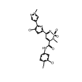 CN1C(C(=O)Nc2ccc(F)c(Cl)c2)=CC(c2cc(Cl)c(-c3cnn(C)c3)s2)=NS1(=O)=O